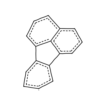 [c]1ccc2c(c1)-c1cccc3cccc-2c13